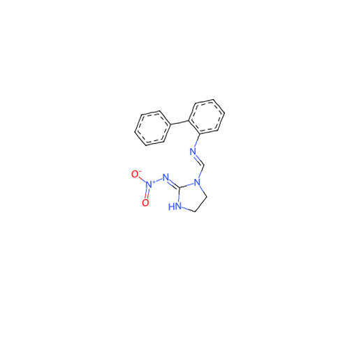 O=[N+]([O-])N=C1NCCN1C=Nc1ccccc1-c1ccccc1